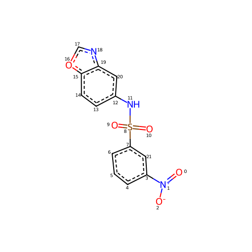 O=[N+]([O-])c1cccc(S(=O)(=O)Nc2ccc3ocnc3c2)c1